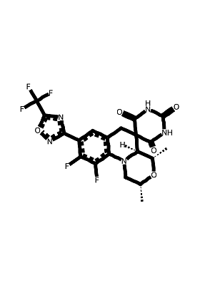 C[C@@H]1CN2c3c(cc(-c4noc(C(F)(F)F)n4)c(F)c3F)CC3(C(=O)NC(=O)NC3=O)[C@H]2[C@H](C)O1